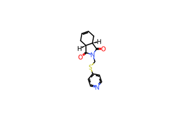 O=C1[C@H]2CC=CC[C@H]2C(=O)N1CSc1ccncc1